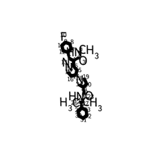 CNC(=O)c1c(-c2ccc(F)cc2)nn2ccc(-n3ccc(C(=O)NC(C)(C)c4ccccc4)c3)cc12